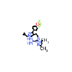 Cc1cc(C)n(C2=C/C(=N)Nc3c(c(-c4ccc(OC(F)(F)F)cc4)nn3CC3CC3)C/C=N\2)n1